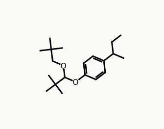 CCC(C)c1ccc(OC(OCC(C)(C)C)C(C)(C)C)cc1